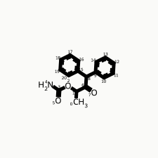 CC(OC(N)=O)C(=O)C(c1ccccc1)c1ccccc1